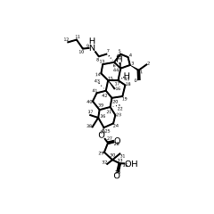 C=C(C)[C@@H]1CC[C@]2(CCNCCC)CC[C@]3(C)[C@H](CCC4[C@@]5(C)CC[C@H](OC(=O)CC(C)(C)C(=O)O)C(C)(C)C5CC[C@]43C)[C@@H]12